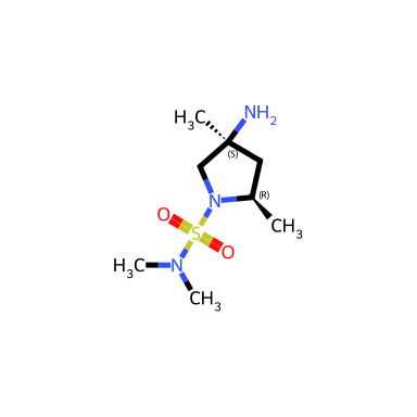 C[C@@H]1C[C@](C)(N)CN1S(=O)(=O)N(C)C